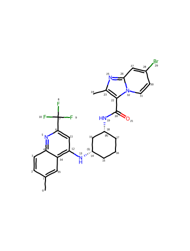 Cc1ccc2nc(C(F)(F)F)cc(N[C@H]3CCC[C@@H](NC(=O)c4c(C)nc5cc(Br)ccn45)C3)c2c1